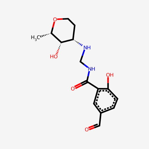 C[C@@H]1OCC[C@H](NCNC(=O)c2cc(C=O)ccc2O)[C@@H]1O